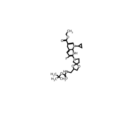 CCOC(=O)C1=CN(C2CC2)C2NC(N3CCC4(C3)OCC(CNC(=O)OC(C)(C)C)O4)=C(F)C=C2C1